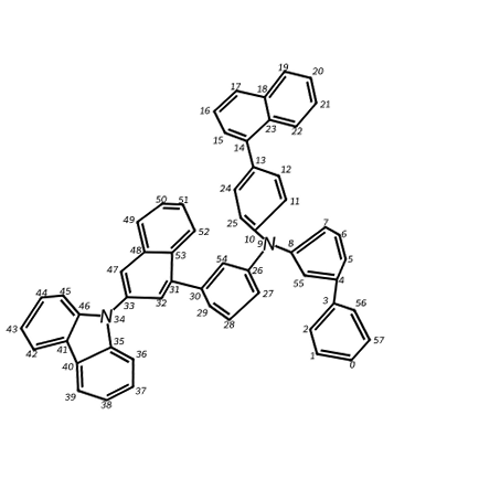 c1ccc(-c2cccc(N(c3ccc(-c4cccc5ccccc45)cc3)c3cccc(-c4cc(-n5c6ccccc6c6ccccc65)cc5ccccc45)c3)c2)cc1